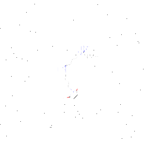 C/N=C(\NC)NCCC[C@H](NCCCCN1C(=O)C=CC1=O)C(=O)O